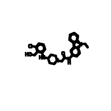 CCn1c2ccccc2c2cc(NC(=O)CN3CCC(Nc4cccc(Cl)c4CO)CC3)ccc21